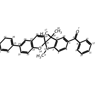 CN1c2ccc(C(=O)c3ccccc3)cc2C(C)(C)C12C=Cc1cc(C3=CCCC=C3)ccc1O2